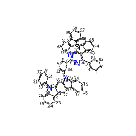 c1ccc(-c2nc(-c3cccc(-n4c5ccccc5c5cc6c7ccccc7n(-c7ccccc7)c6cc54)c3)nc3c2-c2ccccc2[Si]3(c2ccccc2)c2ccccc2)cc1